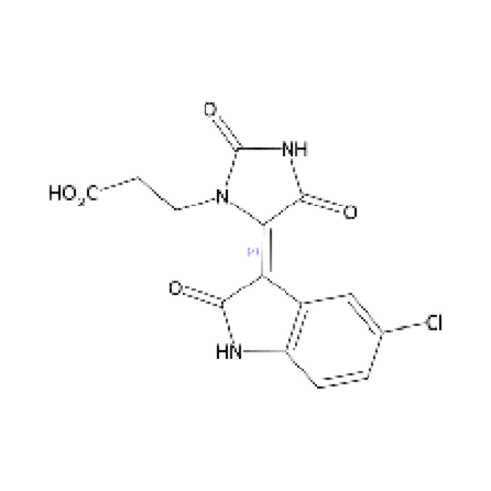 O=C(O)CCN1C(=O)NC(=O)/C1=C1/C(=O)Nc2ccc(Cl)cc21